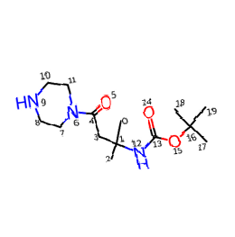 CC(C)(CC(=O)N1CCNCC1)NC(=O)OC(C)(C)C